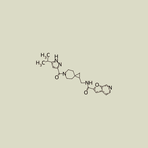 CC(C)c1cc(C(=O)N2CCC3(CC2)CC3CNC(=O)c2cc3ccncc3o2)n[nH]1